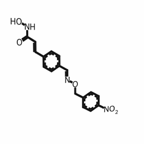 O=C(C=Cc1ccc(C=NOCc2ccc([N+](=O)[O-])cc2)cc1)NO